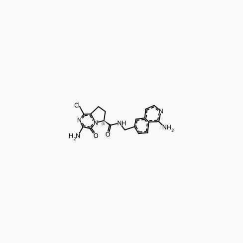 Nc1nc(Cl)c2n(c1=O)[C@H](C(=O)NCc1ccc3c(N)nccc3c1)CC2